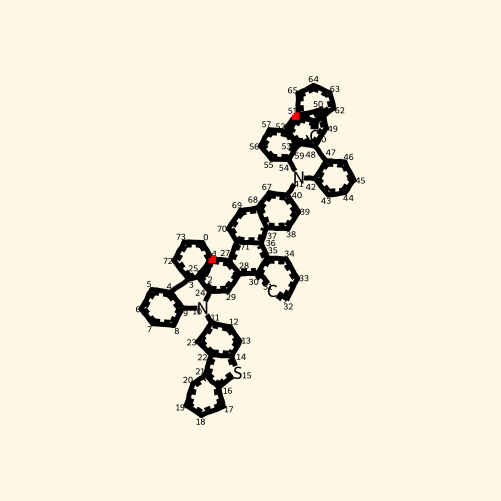 c1ccc(-c2ccccc2N(c2ccc3sc4ccccc4c3c2)c2ccc3c(c2)c2ccccc2c2c4ccc(N(c5ccccc5-c5ccccc5)c5cccc6c5oc5ccccc56)cc4ccc32)cc1